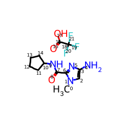 Cn1cc(N)nc1C(=O)NC1CCCC1.O=C(O)C(F)(F)F